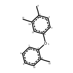 Cc1ccc(Oc2ccccc2C)cc1C